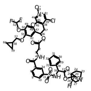 O=C(CCNC(=O)c1cccc(S(=O)(=O)NC(C(=O)O[C@H]2CN3CCC2CC3)c2ccccc2)c1)OC(Cc1c(Cl)c[n+]([O-])cc1Cl)c1ccc(OC(F)F)c(OCC2CC2)c1